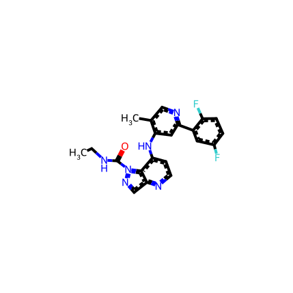 CCNC(=O)n1ncc2nccc(Nc3cc(-c4cc(F)ccc4F)ncc3C)c21